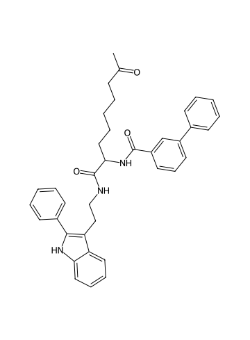 CC(=O)CCCCCC(NC(=O)c1cccc(-c2ccccc2)c1)C(=O)NCCc1c(-c2ccccc2)[nH]c2ccccc12